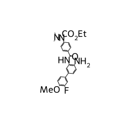 CCOC(=O)N(c1ccc(C(=O)Nc2cc(-c3ccc(OC)c(F)c3)ccc2N)cc1)N(C)C